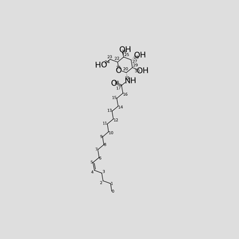 CCCC/C=C\CCCCCCCCCCCC(=O)N[C@@H]1OC(CO)[C@@H](O)[C@H](O)C1O